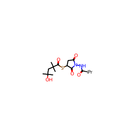 CC(C)C(=O)NN1C(=O)CC(SC(=O)C(C)(C)CC(C)(C)O)C1=O